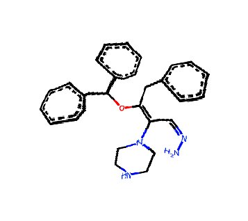 N/N=C\C(=C(/Cc1ccccc1)OC(c1ccccc1)c1ccccc1)N1CCNCC1